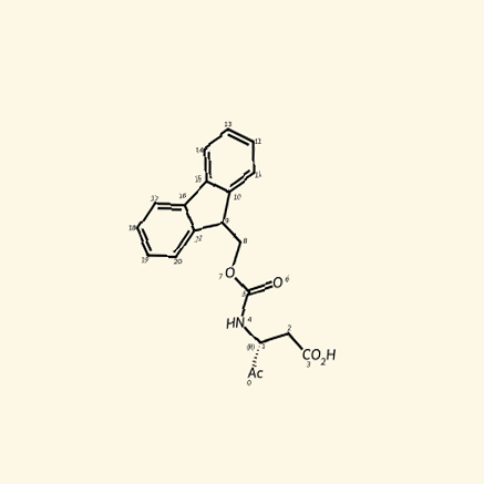 CC(=O)[C@@H](CC(=O)O)NC(=O)OCC1c2ccccc2-c2ccccc21